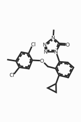 Cc1cc(Cl)c(OCc2c(C3CC3)cccc2-n2nnn(C)c2=O)cc1Cl